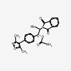 Cc1noc(C)c1-c1ccc([C@@H](OC(N)=O)C(N2C(=O)c3ccccc3C2=O)C(C)(C)C)cc1